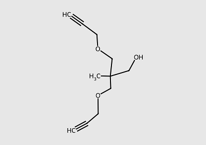 C#CCOCC(C)(CO)COCC#C